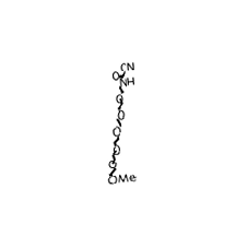 COCCOCCOCCOCCOCCOCCNC(=O)CC#N